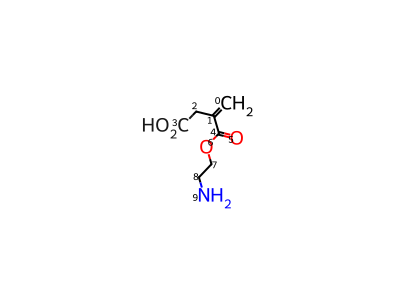 C=C(CC(=O)O)C(=O)OCCN